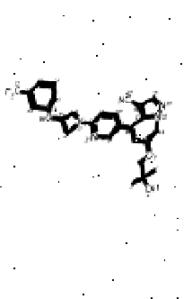 CC(C)(O)COc1cc(-c2ccc(N3CC(Oc4cccc(C(F)(F)F)c4)C3)nc2)c2c(C#N)cnn2c1